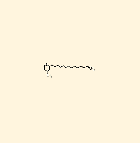 C=CCCCCCCCCCCCCC1=CC(C)C=CS1